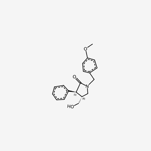 COc1ccc(CN2C[C@H](CO)[C@@H](c3ccccc3)C2=O)cc1